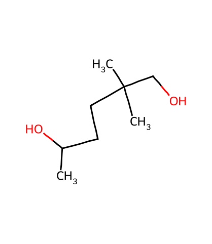 CC(O)CCC(C)(C)CO